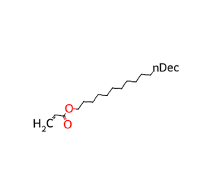 [CH2]CCCCCCCCCCCCCCCCCCCCOC(=O)C=C